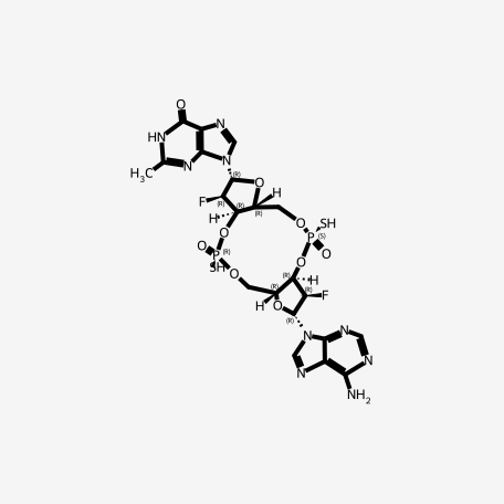 Cc1nc2c(ncn2[C@@H]2O[C@@H]3CO[P@](=O)(S)O[C@H]4[C@@H](F)[C@H](n5cnc6c(N)ncnc65)O[C@@H]4CO[P@@](=O)(S)O[C@H]3[C@H]2F)c(=O)[nH]1